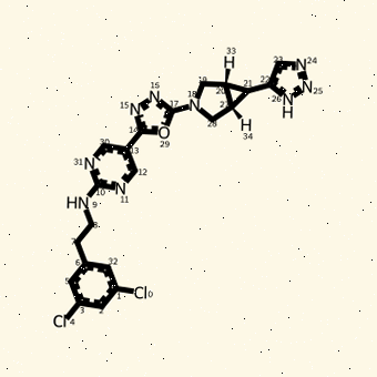 Clc1cc(Cl)cc(CCNc2ncc(-c3nnc(N4C[C@@H]5C(c6cnn[nH]6)[C@@H]5C4)o3)cn2)c1